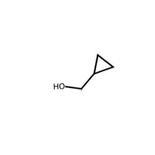 O[CH]C1CC1